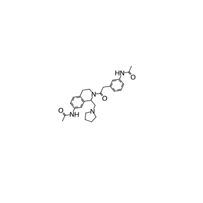 CC(=O)Nc1cccc(CC(=O)N2CCc3ccc(NC(C)=O)cc3C2CN2CCCC2)c1